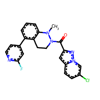 CN1c2cccc(-c3ccnc(F)c3)c2CCN1C(=O)c1cc2ccc(Cl)cn2n1